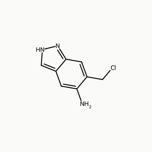 Nc1cc2c[nH]nc2cc1CCl